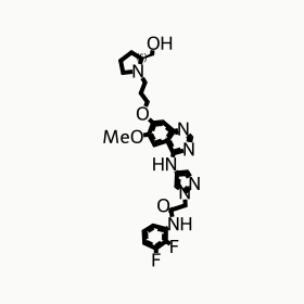 COc1cc2c(Nc3cnn(CC(=O)Nc4cccc(F)c4F)c3)ncnc2cc1OCCCN1CCC[C@H]1CO